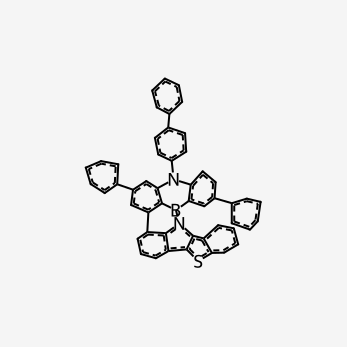 c1ccc(-c2ccc(N3c4ccc(-c5ccccc5)cc4B4c5c(cc(-c6ccccc6)cc53)-c3cccc5c6sc7ccccc7c6n4c35)cc2)cc1